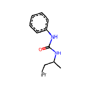 CC(C)CC(C)NC(=O)Nc1ccccc1